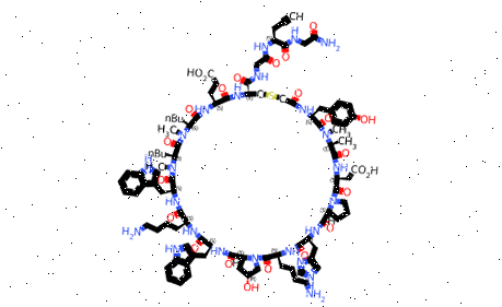 C#CC[C@H](NC(=O)CNC(=O)[C@@H]1CSCC(=O)N[C@@H](Cc2ccc(O)cc2)C(=O)N(C)[C@@H](C)C(=O)N[C@@H](CC(=O)O)C(=O)N2CCC[C@H]2C(=O)N[C@@H](Cc2c[nH]cn2)C(=O)N[C@@H](CCCCN)C(=O)N2C[C@H](O)C[C@H]2C(=O)N[C@@H](Cc2c[nH]c3ccccc23)C(=O)N[C@@H](CCCCN)C(=O)N[C@@H](Cc2c[nH]c3ccccc23)C(=O)N(C)[C@@H](CCCC)C(=O)N(C)[C@@H](CCCC)C(=O)N[C@@H](CCC(=O)O)C(=O)N1)C(=O)NCC(N)=O